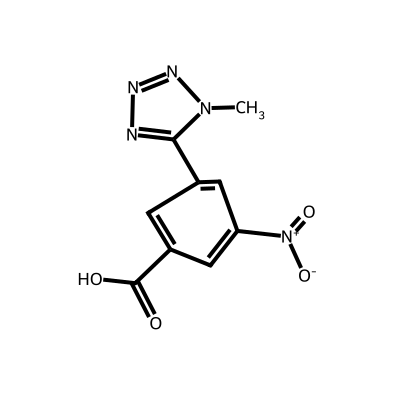 Cn1nnnc1-c1cc(C(=O)O)cc([N+](=O)[O-])c1